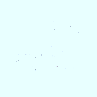 c1ccc(-c2nc3ccccc3nc2-n2c3ccccc3c3c4ccccc4c(-c4ccccc4)cc32)cc1